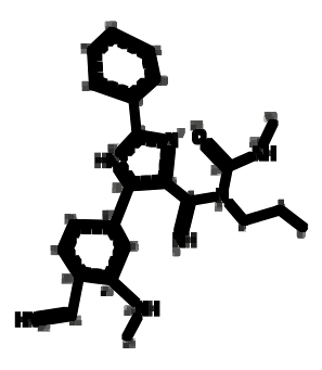 CCCN(C(=N)c1nc(-c2ccccc2)[nH]c1-c1ccc(C=N)c(NC)c1)C(=O)NC